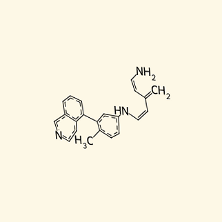 C=C(/C=C\N)/C=C\Nc1ccc(C)c(-c2cccc3cnccc23)c1